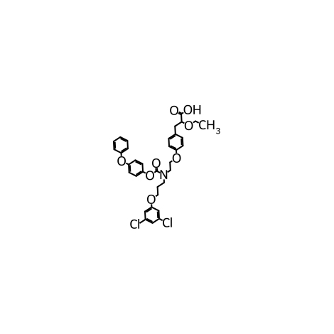 CCOC(Cc1ccc(OCCN(CCCOc2cc(Cl)cc(Cl)c2)C(=O)Oc2ccc(Oc3ccccc3)cc2)cc1)C(=O)O